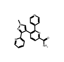 Cn1cc(-c2ccc(C(N)=O)nc2-c2ccncc2)c(-c2ccccn2)n1